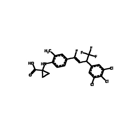 Cc1cc(/C(F)=C/C(c2cc(Cl)c(Cl)c(Cl)c2)C(F)(F)F)ccc1NC1(C(=O)O)CC1